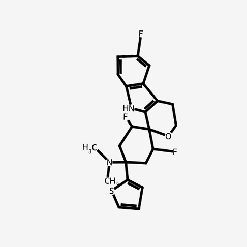 CN(C)C1(c2cccs2)CC(F)C2(OCCc3c2[nH]c2ccc(F)cc32)C(F)C1